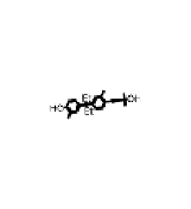 CCC(CC)(c1ccc(O)c(C)c1)c1ccc(C#CC(C)(C)O)c(C)c1